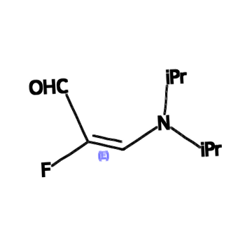 CC(C)N(/C=C(/F)C=O)C(C)C